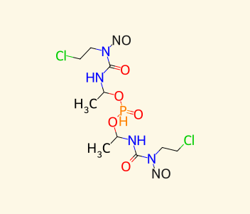 CC(NC(=O)N(CCCl)N=O)O[PH](=O)OC(C)NC(=O)N(CCCl)N=O